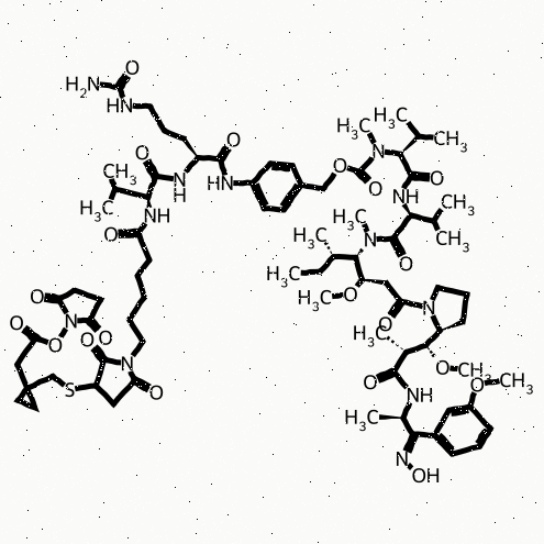 CC[C@H](C)[C@@H]([C@@H](CC(=O)N1CCC[C@H]1[C@H](OC)[C@@H](C)C(=O)N[C@H](C)/C(=N/O)c1cccc(OC)c1)OC)N(C)C(=O)[C@@H](NC(=O)[C@H](C(C)C)N(C)C(=O)OCc1ccc(NC(=O)[C@H](CCCNC(N)=O)NC(=O)[C@@H](NC(=O)CCCCCN2C(=O)CC(SCC3(CC(=O)ON4C(=O)CCC4=O)CC3)C2=O)C(C)C)cc1)C(C)C